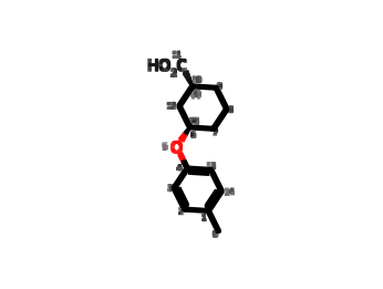 Cc1ccc(O[C@@H]2CCC[C@H](C(=O)O)C2)cc1